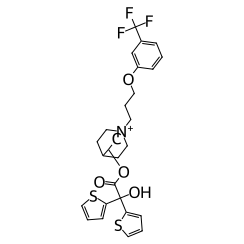 O=C(OC1C[N+]2(CCCOc3cccc(C(F)(F)F)c3)CCC1CC2)C(O)(c1cccs1)c1cccs1